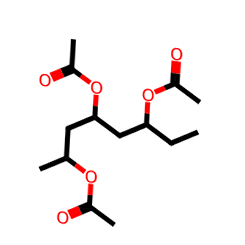 CCC(CC(CC(C)OC(C)=O)OC(C)=O)OC(C)=O